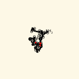 CC[C@H](C)[C@@H]([C@@H](CC(=O)N1CCC[C@H]1[C@H](OC)[C@@H](C)C(=O)N[C@@H](Cc1ccccc1)C(=O)O)OC)N(C)C(=O)[C@@H](NC(=O)[C@H](C(C)C)N(C)CCc1ccc(N(C)C(=O)OCc2ccc(NC(=O)[C@H](CCCNC(N)=O)NC(=O)[C@@H](NC(=O)CCCCCN3C(=O)CC(C)C3=O)C(C)C)cc2)cc1)C(C)C